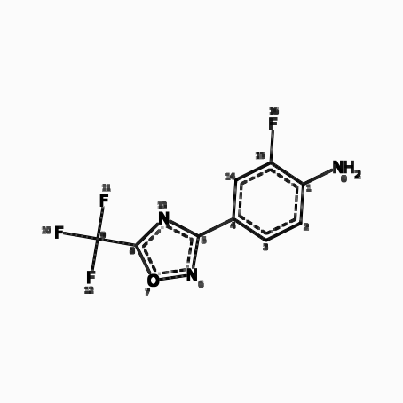 Nc1ccc(-c2noc(C(F)(F)F)n2)cc1F